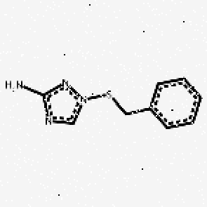 Nc1ncn(SCc2ccccc2)n1